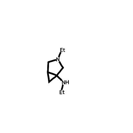 CCNC12CC1CN(CC)C2